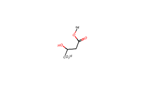 [2H]OC(=O)CC(O)C(=O)O